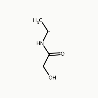 C[CH]NC(=O)CO